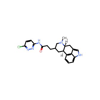 CN1CC(CCC(=O)Nc2ccc(Cl)nn2)C[C@@H]2c3cccc4[nH]cc(c34)C[C@H]21